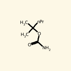 CCCC(C)(C)OC(N)=O